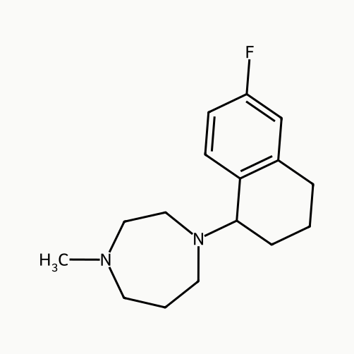 CN1CCCN(C2CCCc3cc(F)ccc32)CC1